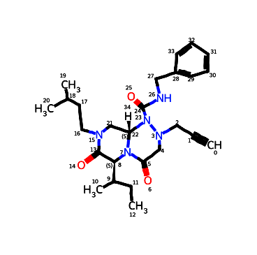 C#CCN1CC(=O)N2[C@@H](C(C)CC)C(=O)N(CCC(C)C)C[C@@H]2N1C(=O)NCc1ccccc1